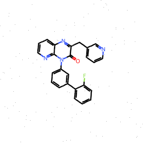 O=c1c(Cc2cccnc2)nc2cccnc2n1-c1cccc(-c2ccccc2F)c1